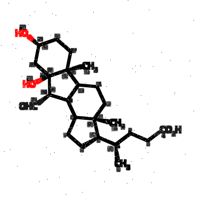 C[C@H](CCC(=O)O)[C@H]1CCC2C3C(CC[C@@]21C)[C@@]1(C)CC[C@H](O)C[C@@]1(O)[C@@H]3C=O